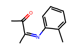 CC(=O)/C(C)=N\c1ccccc1C